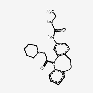 CCNC(=O)Nc1ccc2c(c1)N(C(=O)CN1CCCCC1)c1ccccc1CC2